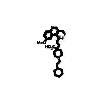 COc1ccc2ncc(CF)c([C@H](F)CCC3(C(=O)O)CCN(CCC4CCCCC4)CC3)c2c1